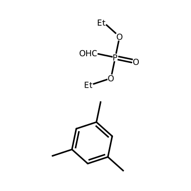 CCOP(=O)(C=O)OCC.Cc1cc(C)cc(C)c1